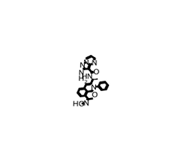 C/C(=N/O)c1cccc2cc([C@H](C)NC(=O)c3c(N)nn4cccnc34)n(-c3ccccc3)c(=O)c12